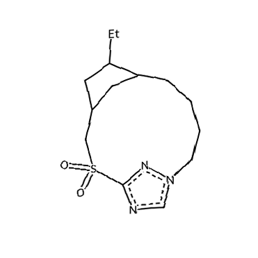 CCC1CC2CC1CCCCn1cnc(n1)S(=O)(=O)C2